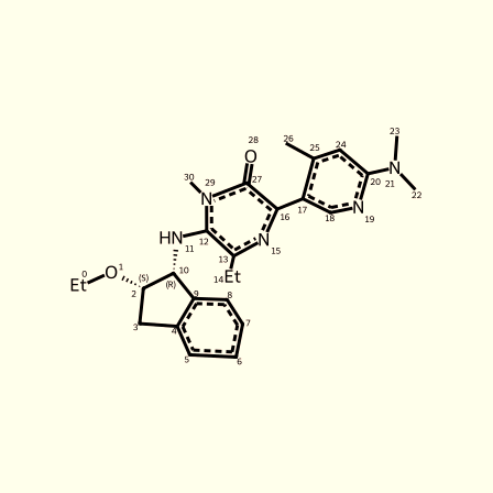 CCO[C@H]1Cc2ccccc2[C@H]1Nc1c(CC)nc(-c2cnc(N(C)C)cc2C)c(=O)n1C